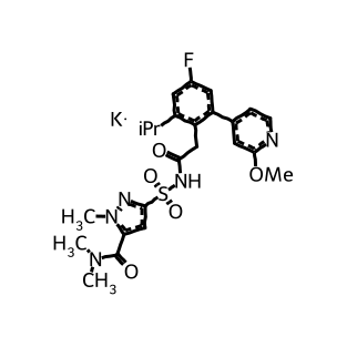 COc1cc(-c2cc(F)cc(C(C)C)c2CC(=O)NS(=O)(=O)c2cc(C(=O)N(C)C)n(C)n2)ccn1.[K]